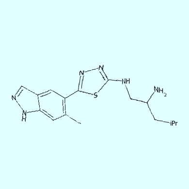 Cc1cc2[nH]ncc2cc1-c1nnc(NCC(N)CC(C)C)s1